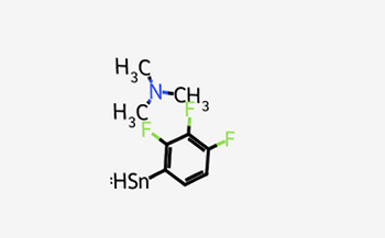 CN(C)C.Fc1cc[c]([SnH])c(F)c1F